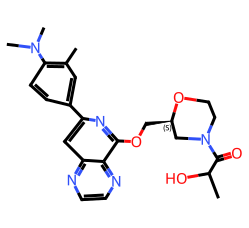 Cc1cc(-c2cc3nccnc3c(OC[C@@H]3CN(C(=O)C(C)O)CCO3)n2)ccc1N(C)C